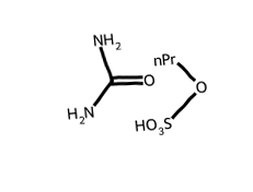 CCCOS(=O)(=O)O.NC(N)=O